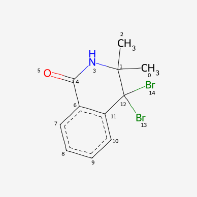 CC1(C)NC(=O)c2ccccc2C1(Br)Br